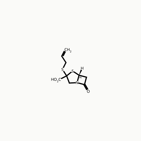 C=CCSC1(C(=O)O)CN2C(=O)C[C@H]2S1